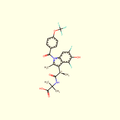 Cc1c([C@@H](C)C(=O)NC(C)(C)C(=O)O)c2c(F)c(O)c(F)cc2n1C(=O)c1ccc(OC(F)(F)F)cc1